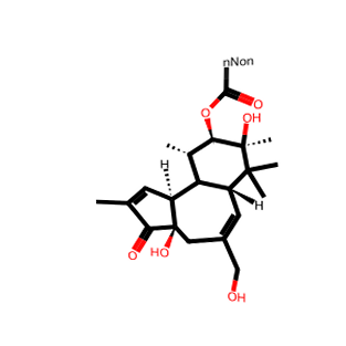 CCCCCCCCCC(=O)O[C@@H]1[C@@H](C)C2[C@@H](C=C(CO)C[C@]3(O)C(=O)C(C)=C[C@@H]23)C(C)(C)[C@]1(C)O